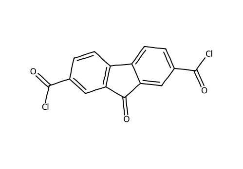 O=C(Cl)c1ccc2c(c1)C(=O)c1cc(C(=O)Cl)ccc1-2